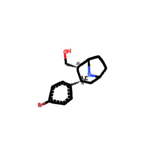 CN1C2CCC1[C@@H](CO)[C@@H](c1ccc(Br)cc1)C2